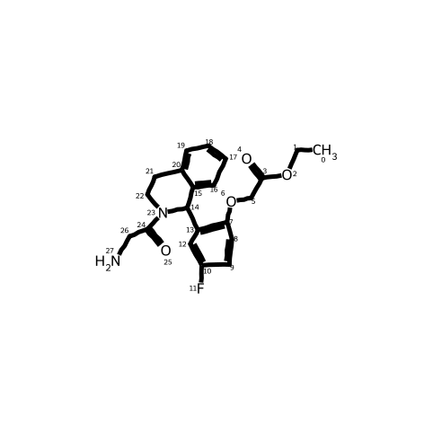 CCOC(=O)COc1ccc(F)cc1C1c2ccccc2CCN1C(=O)CN